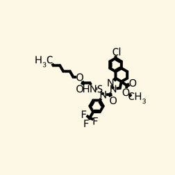 CCCCCCOC(=O)CNSN(C(=O)N1CC2(C(=O)OC)CCc3cc(Cl)ccc3C2=N1)c1ccc(C(F)(F)F)cc1